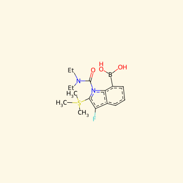 CCN(CC)C(=O)n1c(S(C)(C)C)c(F)c2cccc(B(O)O)c21